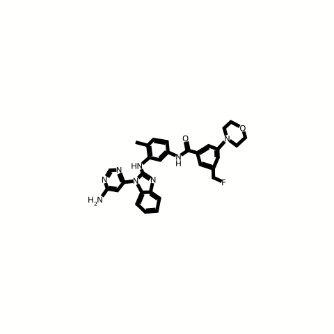 Cc1ccc(NC(=O)c2cc(CF)cc(N3CCOCC3)c2)cc1Nc1nc2ccccc2n1-c1cc(N)ncn1